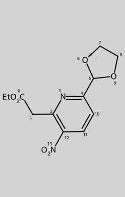 CCOC(=O)Cc1nc(C2OCCO2)ccc1[N+](=O)[O-]